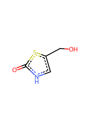 O=c1[nH]cc(CO)s1